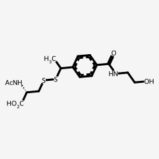 CC(=O)N[C@H](CSSC(C)c1ccc(C(=O)NCCO)cc1)C(=O)O